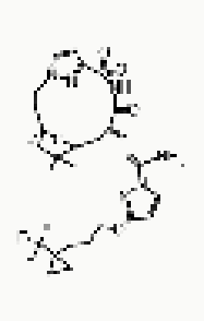 CC1(C)C[C@H]2CCn3ccc(n3)S(=O)(=O)NC(=O)/C(=C/C=C(\N)n3ccc(OCCCC4(C(F)(F)F)CC4)n3)CC1C2